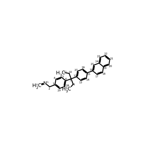 C=NCc1ccc(C(CC)(CC)c2ccc(-c3ccc4ccccc4c3)cc2)cc1